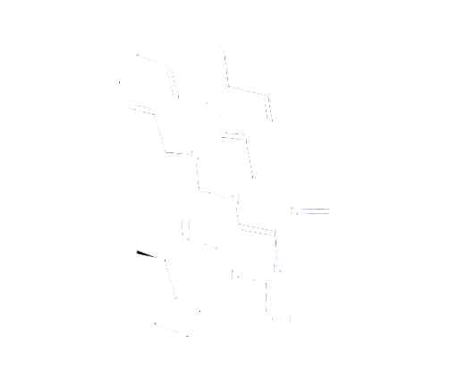 C=Nc1nc(C(=O)O)nc(N[C@H](C)C2CCC2)c1N(Cc1ccc(C(F)(F)F)cc1)CN(C)Cc1ccccc1